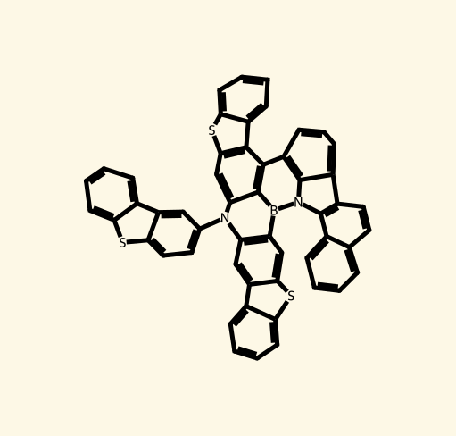 c1ccc2c(c1)ccc1c3cccc4c3n(c21)B1c2cc3sc5ccccc5c3cc2N(c2ccc3sc5ccccc5c3c2)c2cc3sc5ccccc5c3c-4c21